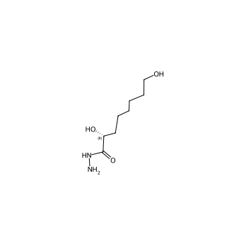 NNC(=O)[C@H](O)CCCCCCO